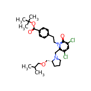 CC(C)COC[C@H]1CCCN1Cc1c(Cl)cc(Cl)c(=O)n1CCc1ccc(C(=O)OC(C)(C)C)cc1